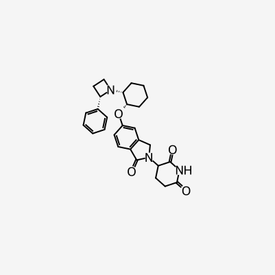 O=C1CCC(N2Cc3cc(O[C@H]4CCCC[C@H]4N4CC[C@H]4c4ccccc4)ccc3C2=O)C(=O)N1